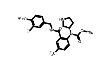 COc1ccc(CNC(=O)c2cc(C(F)(F)F)ccc2N(C(=O)OC(C)(C)C)[C@@H]2CCNC2)cc1Cl